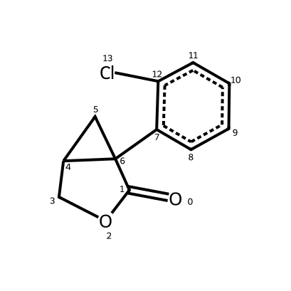 O=C1OCC2CC12c1ccccc1Cl